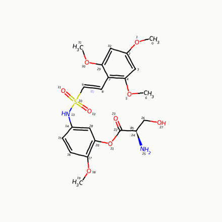 COc1cc(OC)c(/C=C/S(=O)(=O)Nc2ccc(OC)c(OC(=O)[C@H](N)CO)c2)c(OC)c1